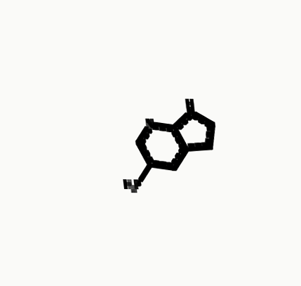 Pc1cnc2[nH]ccc2c1